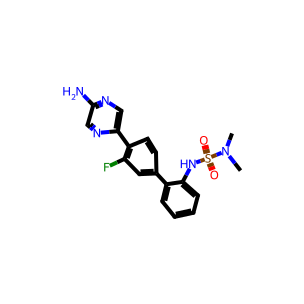 CN(C)S(=O)(=O)Nc1ccccc1-c1ccc(-c2cnc(N)cn2)c(F)c1